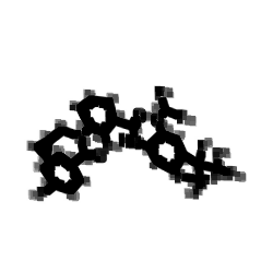 O=C(Nc1ccc(C(F)(C(F)(F)F)C(F)(F)F)cc1OC(F)F)c1cccc(N(CC2CC2)C(=O)c2ccc(F)cc2)c1F